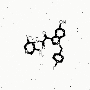 Nc1cncc(N)c1NC(=O)C(=O)c1cn(Cc2ccc(F)cc2)c2ccc(O)cc12